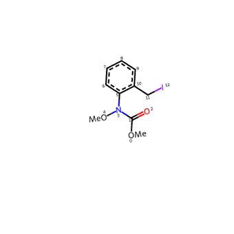 COC(=O)N(OC)c1ccccc1CI